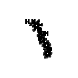 Cc1cc(N)c(C)c(C)c1OC[C@@H](O)CN1CCC(c2ccc(Oc3ccccc3)cc2)CC1